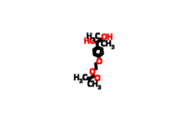 C=C(C)C(=O)OCCOc1ccc(C(O)C(C)(C)O)cc1